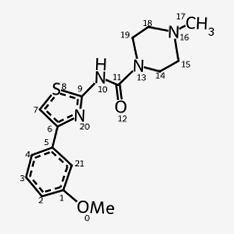 COc1cccc(-c2csc(NC(=O)N3CCN(C)CC3)n2)c1